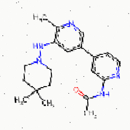 CC(=O)Nc1cc(-c2cnc(C)c(NN3CCC(C)(C)CC3)c2)ccn1